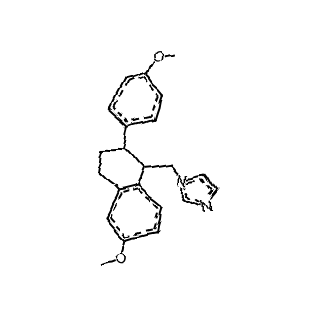 COc1ccc(C2CCc3cc(OC)ccc3C2Cn2ccnc2)cc1